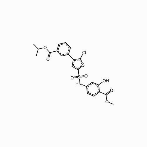 COC(=O)c1ccc(NS(=O)(=O)c2cc(-c3cccc(C(=O)OC(C)C)c3)c(Cl)s2)cc1O